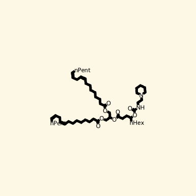 CCCCC/C=C\C/C=C\CCCCCCCC(=O)OCC(COC(=O)CCCCCCC/C=C\C/C=C\CCCCC)OC(=O)CCC(CCCCCC)OC(=O)NCCN1CCCCC1